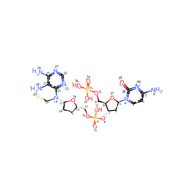 Nc1ccn([C@H]2C[C@H](OP(=O)(O)OC[C@@H]3CC[C@H](N(CF)c4ncnc(N)c4N)O3)[C@@H](COP(=O)(O)O)O2)c(=O)n1